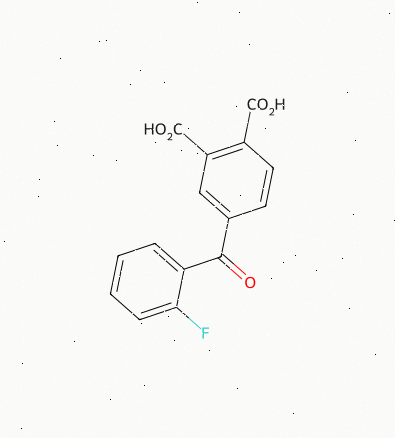 O=C(c1ccc(C(=O)O)c(C(=O)O)c1)c1ccccc1F